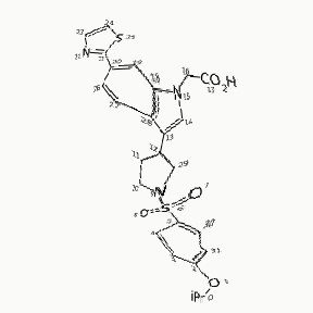 CC(C)Oc1ccc(S(=O)(=O)N2CCC(c3cn(CC(=O)O)c4cc(-c5nccs5)ccc34)C2)cc1